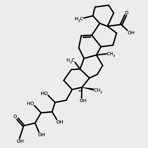 CC1CCCC2(C(=O)O)CCC3C(=CCC4C3(C)CCC3C4(C)CCC(CC(O)C(O)C(O)C(O)C(=O)O)[C@@]3(C)O)C12